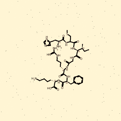 CC[C@H](C)[C@H](NC(=O)C(CSC)NC(=O)[C@@H](N)Cc1cnc[nH]1)C(=O)NCC(=O)N[C@@H](CCCNC(=N)N)C(=O)N[C@@H](Cc1ccccc1)C(=O)N[C@@H](CCCCN)C(=O)O